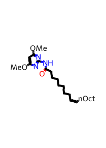 CCCCCCCC/C=C\CCCCCCCC(=O)Nc1nc(OC)cc(OC)n1